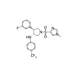 Cn1cnc(S(=O)(=O)N2C[C@H](Nc3ccc(C(F)(F)F)cc3)[C@@H](c3cccc(F)c3)C2)c1